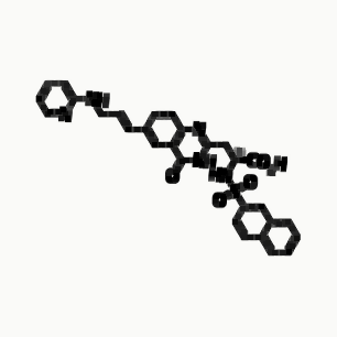 O=C(O)[C@H](Cc1nc2ccc(C=CCNc3ccccn3)cc2c(=O)[nH]1)NS(=O)(=O)c1ccc2ccccc2c1